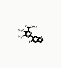 COC(=O)c1nc(-c2cc3sccc3cc2F)nc(N)c1OC